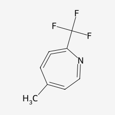 CC1=CC=NC(C(F)(F)F)=C=C1